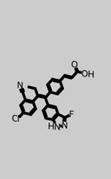 CCC(=C(c1ccc(C=CC(=O)O)cc1)c1ccc2[nH]nc(F)c2c1)c1ccc(Cl)cc1C#N